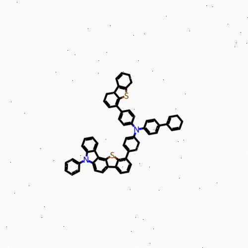 C1=CC(c2ccc(N(C3=CC=C(c4cccc5c4sc4c5ccc5c4c4ccccc4n5-c4ccccc4)CC3)c3ccc(C4=C5SC6=C(C=CCC6)C5CC=C4)cc3)cc2)=CCC1